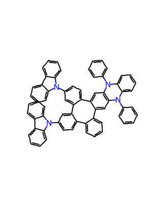 c1ccc(-n2c3ccccc3n(-c3ccccc3)c3cc4c5ccc(-n6c7ccccc7c7ccccc76)cc5c5cc(-n6c7ccccc7c7ccccc76)ccc5c5ccccc5c4cc32)cc1